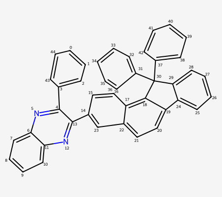 c1ccc(-c2nc3ccccc3nc2-c2ccc3c4c(ccc3c2)-c2ccccc2C4(c2ccccc2)c2ccccc2)cc1